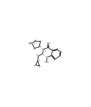 CCSc1ccccc1C(=O)N(CCC1CC1)[C@H]1CCNC1